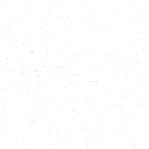 CC(O)CCCCCCCCCN1C(=O)CCCC1=O